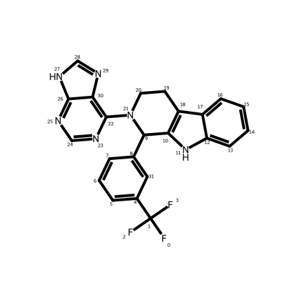 FC(F)(F)c1cccc(C2c3[nH]c4ccccc4c3CCN2c2ncnc3[nH]cnc23)c1